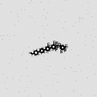 C=CC1CCC(c2ccc(-c3ccc(-c4cc(F)c(C(F)(F)Oc5cc(F)c(F)c(F)c5)c(F)c4)c(F)c3)cc2)CC1